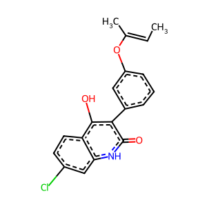 CC=C(C)Oc1cccc(-c2c(O)c3ccc(Cl)cc3[nH]c2=O)c1